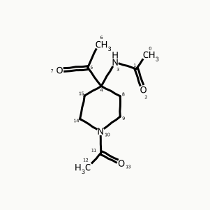 CC(=O)NC1(C(C)=O)CCN(C(C)=O)CC1